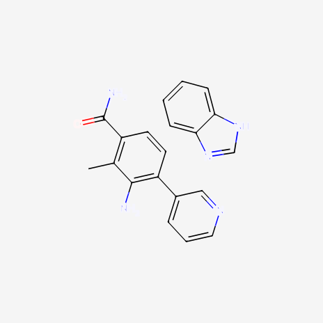 Cc1c(C(N)=O)ccc(-c2cccnc2)c1N.c1ccc2[nH]cnc2c1